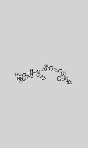 O=C(N[C@@H](c1ccccc1)c1cccc(OCc2ccc(C(=O)OCCCN(CCCNCC(O)c3ccc(O)c4[nH]c(=O)ccc34)C(=O)Cc3ccccc3)cc2)c1)OC1CN2CCC1CC2